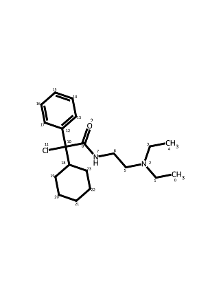 CCN(CC)CCNC(=O)C(Cl)(c1ccccc1)C1CCCCC1